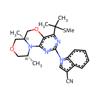 CSC(C)(C)c1nc(-n2cc(C#N)c3ccccc32)nc2c1OC[C@]1(C)COC[C@@H](C)N21